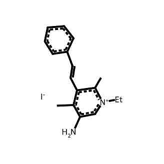 CC[n+]1cc(N)c(C)c(C=Cc2ccccc2)c1C.[I-]